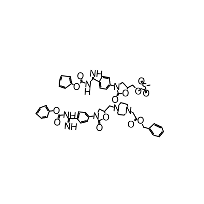 CS(=O)(=O)OCC1CN(c2ccc(C(=N)NC(=O)Oc3ccccc3)cc2)C(=O)O1.N=C(NC(=O)Oc1ccccc1)c1ccc(N2CC(CN3CCN(CC(=O)OCc4ccccc4)CC3)OC2=O)cc1